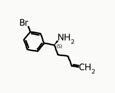 C=CCC[C@H](N)c1cccc(Br)c1